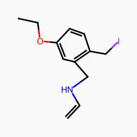 C=CNCc1cc(OCC)ccc1CI